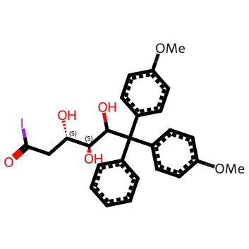 COc1ccc(C(c2ccccc2)(c2ccc(OC)cc2)C(O)[C@@H](O)[C@@H](O)CC(=O)I)cc1